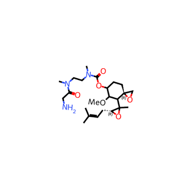 COC1C(OC(=O)N(C)CCN(C)C(=O)CN)CC[C@]2(CO2)C1C1(C)O[C@@H]1CC=C(C)C